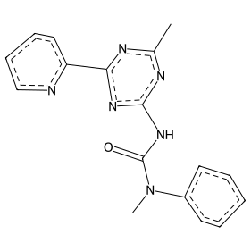 Cc1nc(NC(=O)N(C)c2ccccc2)nc(-c2ccccn2)n1